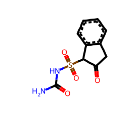 NC(=O)NS(=O)(=O)C1C(=O)Cc2ccccc21